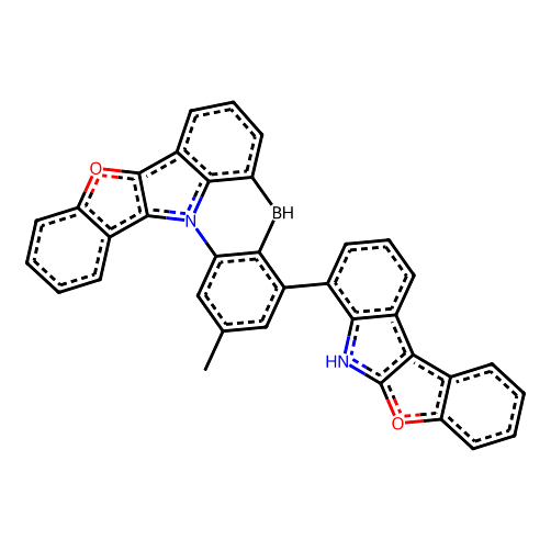 Cc1cc(-c2cccc3c2[nH]c2oc4ccccc4c23)c2c(c1)-n1c3c(cccc3c3oc4ccccc4c31)B2